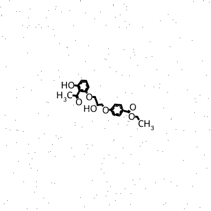 CCOC(=O)c1ccc(OCC(O)COc2cccc(O)c2C(C)=O)cc1